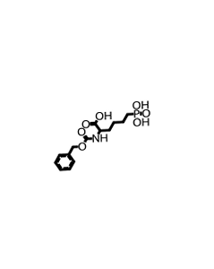 O=C(NC(CCCCP(=O)(O)O)C(=O)O)OCc1ccccc1